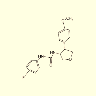 COc1ccc([C@@H]2COC[C@@H]2NC(=O)Nc2ccc(F)cc2)cc1